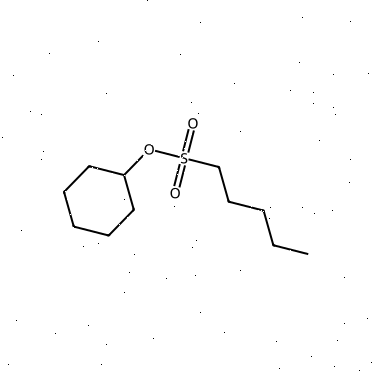 CCCCCS(=O)(=O)OC1CCCCC1